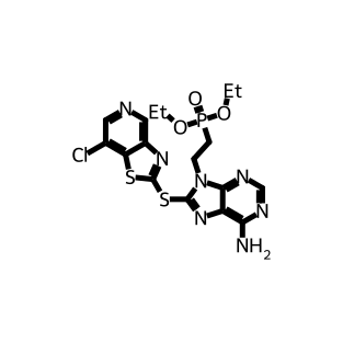 CCOP(=O)(CCn1c(Sc2nc3cncc(Cl)c3s2)nc2c(N)ncnc21)OCC